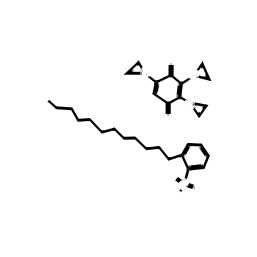 CCCCCCCCCCCCc1ccccc1S(=O)(=O)O.O=C1C=C(N2CC2)C(=O)C(N2CC2)=C1N1CC1